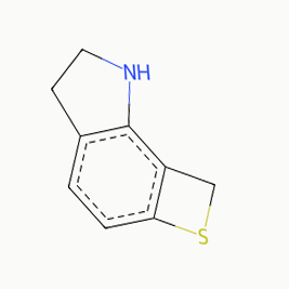 c1cc2c(c3c1CCN3)CS2